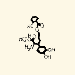 Cl.N[C@H](C(=O)O)C(CCCOC(=O)c1ccccc1O)c1ccc(O)c(O)c1